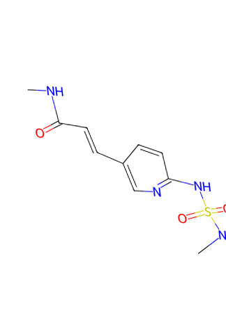 CNC(=O)C=Cc1ccc(NS(=O)(=O)NC)nc1